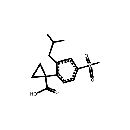 CC(C)Cc1cc(S(C)(=O)=O)ccc1C1(C(=O)O)CC1